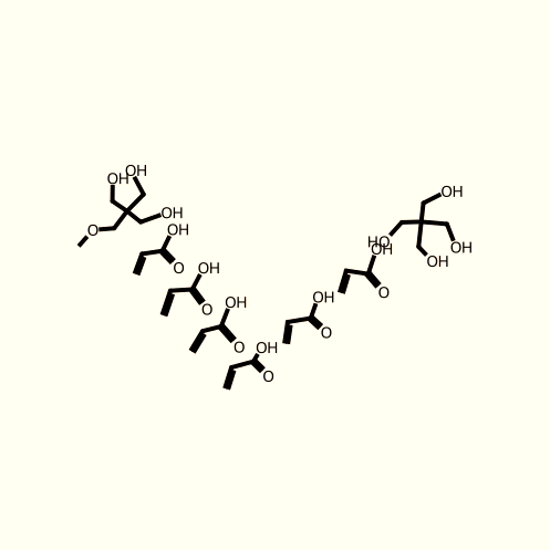 C=CC(=O)O.C=CC(=O)O.C=CC(=O)O.C=CC(=O)O.C=CC(=O)O.C=CC(=O)O.COCC(CO)(CO)CO.OCC(CO)(CO)CO